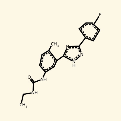 CCNC(=O)Nc1ccc(C)c(-c2nc(-c3ccc(F)cc3)n[nH]2)c1